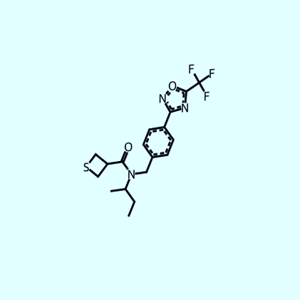 CCC(C)N(Cc1ccc(-c2noc(C(F)(F)F)n2)cc1)C(=O)C1CSC1